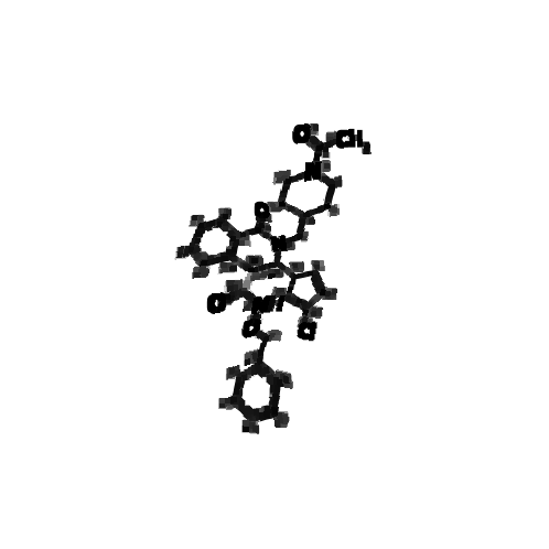 CC(=O)N1CCC(CN2C(=O)c3ccccc3[C@@H](C(=O)NOCc3ccccc3)C2C2C=CC(Cl)=C2)CC1